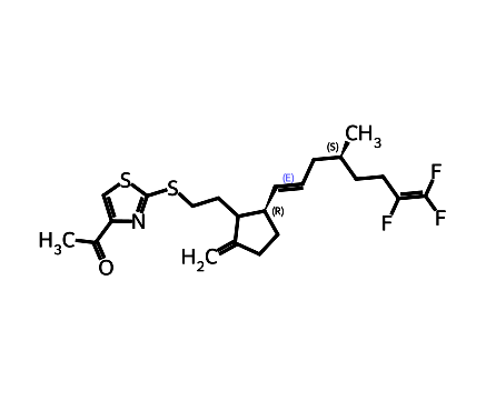 C=C1CC[C@H](/C=C/C[C@@H](C)CCC(F)=C(F)F)C1CCSc1nc(C(C)=O)cs1